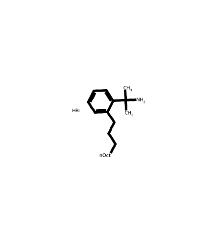 Br.CCCCCCCCCCCc1ccccc1C(C)(C)N